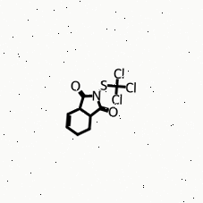 O=C1C2C=CCCC2C(=O)N1SC(Cl)(Cl)Cl